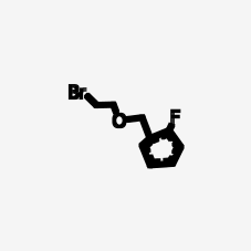 Fc1ccccc1COCCBr